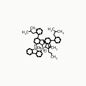 CCCC1=Cc2c(-c3ccccc3CC(C)C)cccc2[CH]1[Hf]([Cl])([Cl])([c]1cccc2c1[SiH2]c1ccccc1-2)[CH]1C(CCC)=Cc2c(-c3ccccc3CC(C)C)cccc21